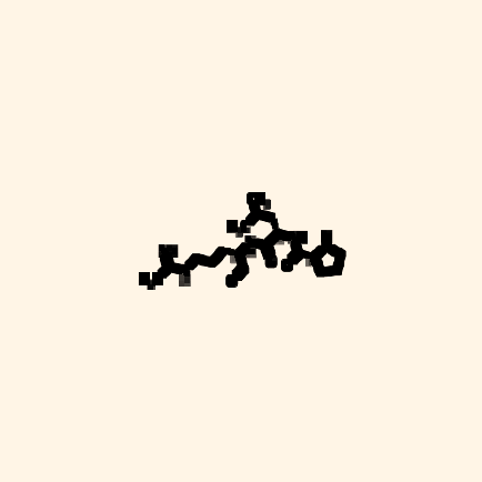 CC(C)C[C@H](NC(=O)[C@@H]1CCCN1)C(=O)N[C@H](C=O)CCCNC(=N)N